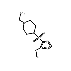 CCN1CCN(S(=O)(=O)c2sccc2OC)CC1